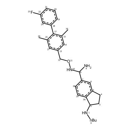 CCCCNC1CCc2cc(C(N)NOCc3cc(C)c(-c4cccc(F)c4)c(C)c3)ccc21